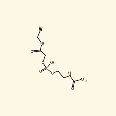 C#CCNC(=O)COP(=O)(O)OCCNC(=O)C(F)(F)F